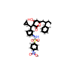 CCC(Cc1cc(O)c(C(c2cccc(NS(=O)(=O)c3ccc([N+](=O)[O-])cc3)c2)C2CC2)c(=O)o1)c1ccccc1